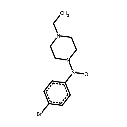 CCN1CCN([S+]([O-])c2ccc(Br)cc2)CC1